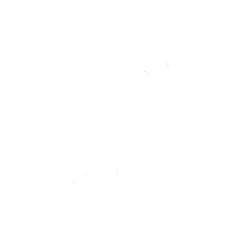 CN1CCOCc2c(C#CC(C)(C)C(F)(F)F)cccc21